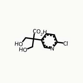 O=C(O)C(CO)(CO)c1ccc(Cl)nc1